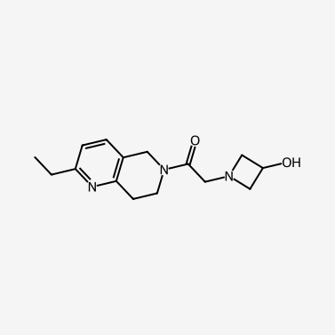 CCc1ccc2c(n1)CCN(C(=O)CN1CC(O)C1)C2